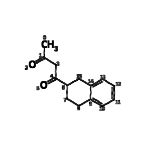 CC(=O)CC(=O)C1CCc2ccccc2C1